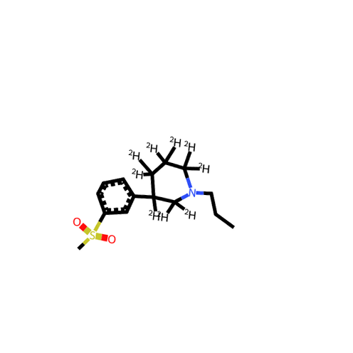 [2H]C1([2H])N(CCC)C([2H])([2H])C([2H])(c2cccc(S(C)(=O)=O)c2)C([2H])([2H])C1([2H])[2H]